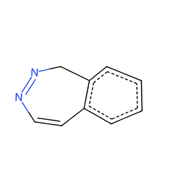 C1=Cc2ccccc2CN=N1